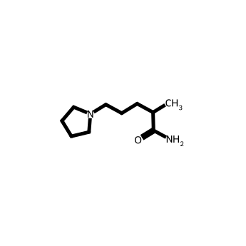 CC(CCCN1CCCC1)C(N)=O